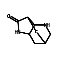 O=C1NC2CC3CNC2C1C3